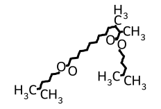 CC(C)CCCCOC(=O)CCCCCCCCCC(C)C(C)C(=O)OCCCCC(C)C